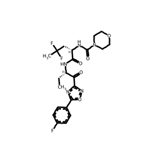 CC[C@H](NC(=O)[C@H](CC(C)(F)F)NC(=O)N1CCOCC1)C(=O)c1noc(-c2ccc(F)cc2)n1